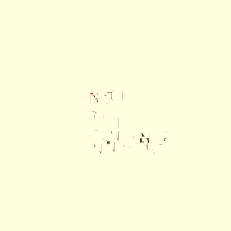 CCN(C)C(CSC)c1ccc(-c2ccc3ncnc(Nc4ccc5c(cnn5Cc5cccc(F)c5)c4)c3c2)o1